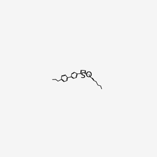 CCCCC=CCOc1ccc(-c2ccc(-c3ccc(CCC)cc3)cc2)s1